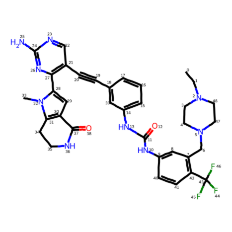 CCN1CCN(Cc2cc(NC(=O)Nc3cccc(C#Cc4cnc(N)nc4-c4cc5c(n4C)CCNC5=O)c3)ccc2C(F)(F)F)CC1